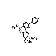 CCN(C)C(=O)c1ccc(-c2ccc(F)cc2)nc1-c1ccc(OC)c(OC)c1